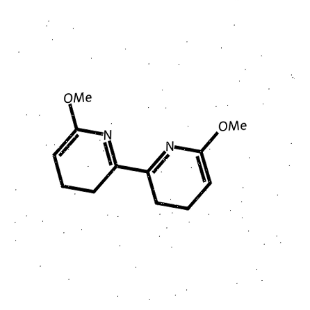 COC1=CCCC(C2=NC(OC)=CCC2)=N1